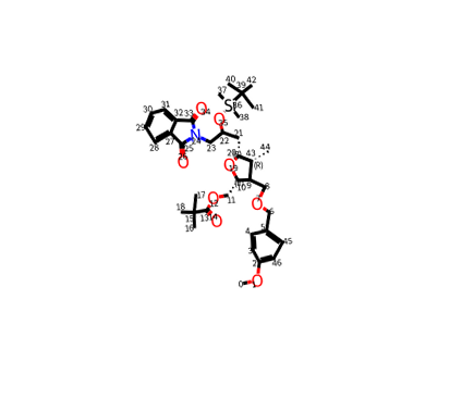 COc1ccc(COCC2[C@H](COC(=O)C(C)(C)C)O[C@H](CC(CN3C(=O)c4ccccc4C3=O)O[Si](C)(C)C(C)(C)C)[C@@H]2C)cc1